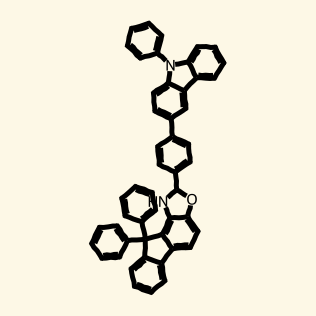 c1ccc(-n2c3ccccc3c3cc(-c4ccc(C5Nc6c(ccc7c6C(c6ccccc6)(c6ccccc6)c6ccccc6-7)O5)cc4)ccc32)cc1